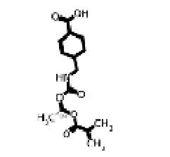 CC(C)C(=O)O[C@H](C)OC(=O)NCC1CCC(C(=O)O)CC1